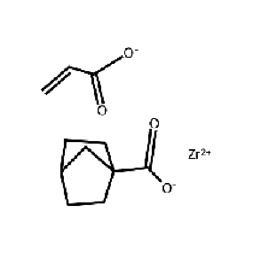 C=CC(=O)[O-].O=C([O-])C12CCC(CC1)C2.[Zr+2]